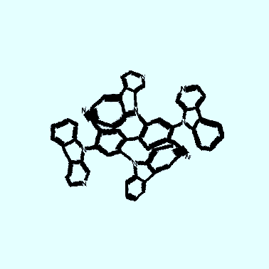 N#Cc1cc(-c2cc(C#N)c(-n3c4ccccc4c4ccncc43)cc2-n2c3ccccc3c3ccncc32)c(-n2c3ccccc3c3ccncc32)cc1-n1c2ccccc2c2ccncc21